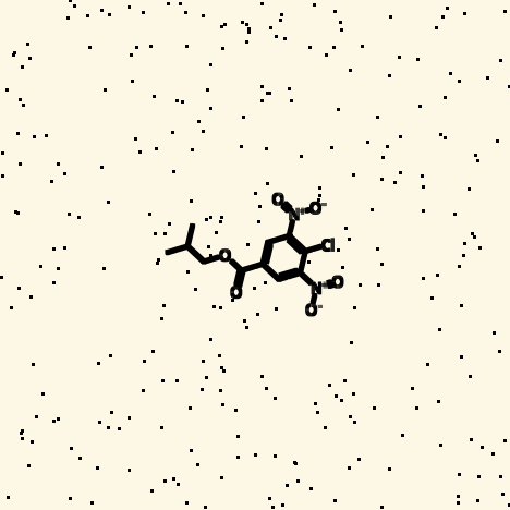 CC(C)COC(=O)c1cc([N+](=O)[O-])c(Cl)c([N+](=O)[O-])c1